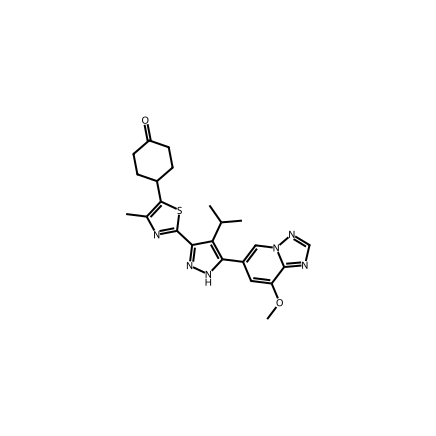 COc1cc(-c2[nH]nc(-c3nc(C)c(C4CCC(=O)CC4)s3)c2C(C)C)cn2ncnc12